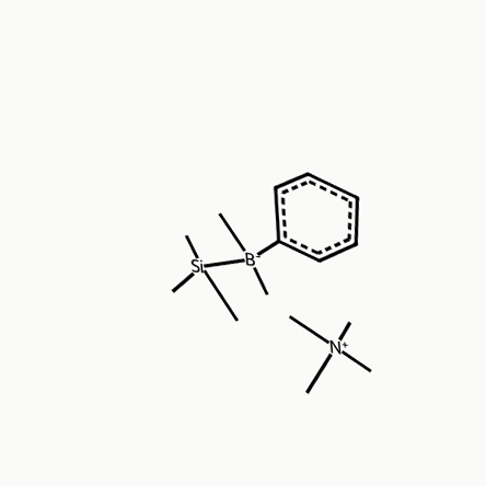 C[B-](C)(c1ccccc1)[Si](C)(C)C.C[N+](C)(C)C